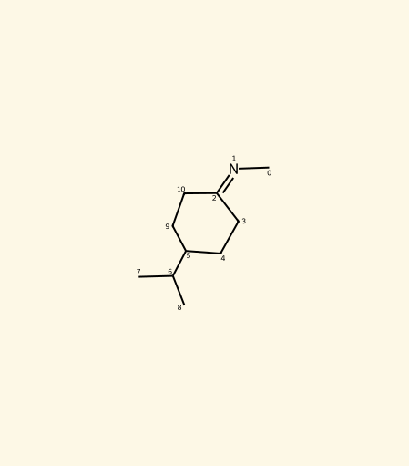 CN=C1CCC(C(C)C)CC1